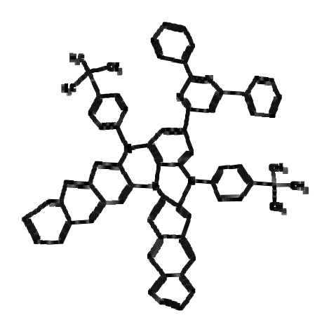 CC(C)(C)c1ccc(N2c3cc4cc5ccccc5cc4cc3B3c4cc5cc6ccccc6cc5cc4N(c4ccc(C(C)(C)C)cc4)c4cc(-c5cc(-c6ccccc6)nc(-c6ccccc6)n5)cc2c43)cc1